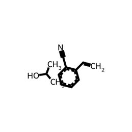 C=Cc1ccccc1C#N.CC(C)O